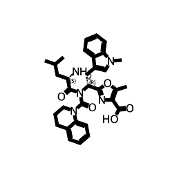 Cc1oc([C@@H](Cc2cn(C)c3ccccc23)N(C(=O)[C@@H](N)CC(C)C)C(=O)N2CCCc3ccccc32)nc1C(=O)O